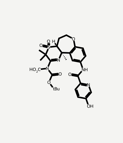 CC(C)(C)OC(=O)N(C(=O)O)C1=N[C@]2(C)c3cc(NC(=O)c4ccc(O)cn4)ccc3OCC[C@H]2S(=O)(=O)C1(C)C